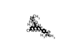 Cc1nnc(NC(=O)C(C)(C)C2c3ccc(Cl)nc3Oc3nc(-c4ccc(C(=O)N(C)C)cc4)ccc32)s1